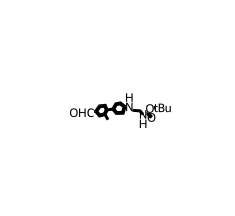 Cc1cc(C=O)ccc1-c1ccc(NCCNC(=O)OC(C)(C)C)cc1